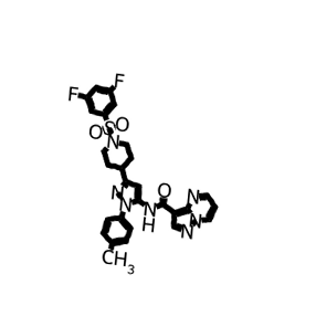 Cc1ccc(-n2nc(C3CCN(S(=O)(=O)c4cc(F)cc(F)c4)CC3)cc2NC(=O)c2cnn3cccnc23)cc1